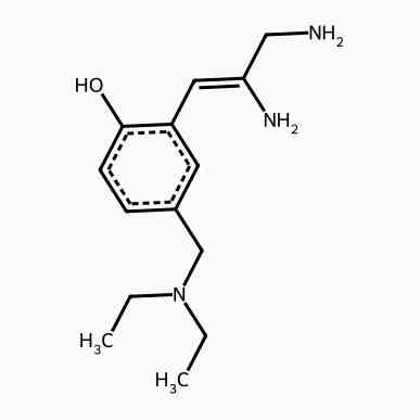 CCN(CC)Cc1ccc(O)c(C=C(N)CN)c1